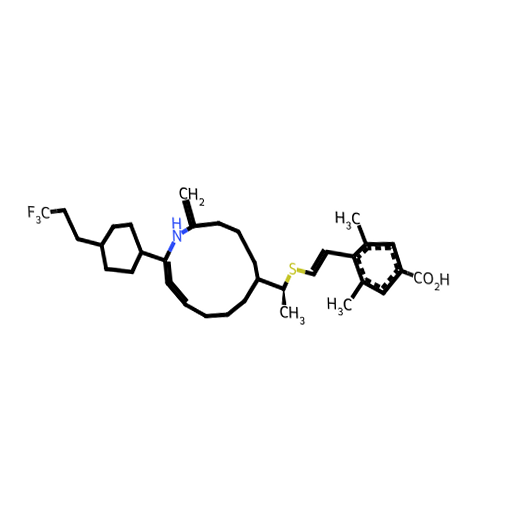 C=C1CCCC([C@H](C)S/C=C/c2c(C)cc(C(=O)O)cc2C)CCCC=C=C(C2CCC(CCC(F)(F)F)CC2)N1